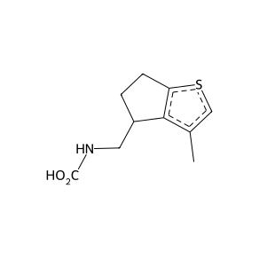 Cc1csc2c1C(CNC(=O)O)CC2